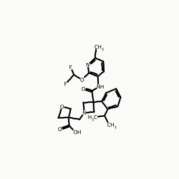 Cc1ccc(NC(=O)C2(c3ccccc3C(C)C)CN(CC3(C(=O)O)COC3)C2)c(OC(F)F)n1